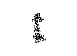 O=C(O)CC(O)(CC(=O)OC(=O)CC(=O)CC(=O)OC(=O)CC(O)(CC(=O)O)C(=O)O)C(=O)O